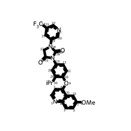 COc1ccc2nccc(Oc3ccc(N4C(=O)CN(c5cncc(C(F)(F)F)c5)C4=O)cc3C(C)C)c2c1